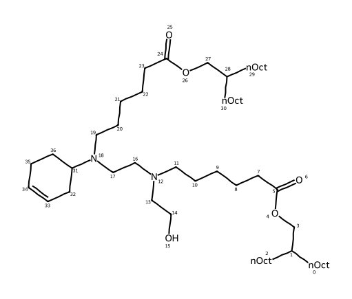 CCCCCCCCC(CCCCCCCC)COC(=O)CCCCCN(CCO)CCN(CCCCCC(=O)OCC(CCCCCCCC)CCCCCCCC)C1CC=CCC1